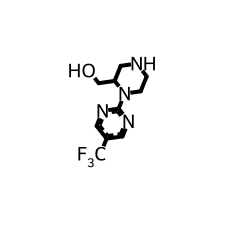 OCC1CNCCN1c1ncc(C(F)(F)F)cn1